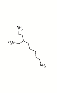 NCCCCCC(CN)CCN